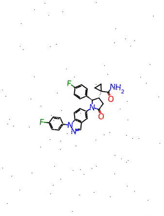 NC(=O)C1([C@@H]2CC(=O)N(c3ccc4c(cnn4-c4ccc(F)cc4)c3)[C@H]2c2ccc(F)cc2)CC1